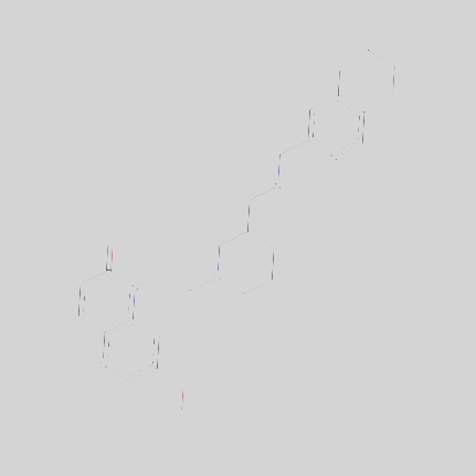 COc1cnc2ccc(=O)n(CCN3CCCC(CNCc4cc5c(cn4)OCCO5)C3)c2c1